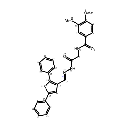 COc1ccc(C(=O)NCC(=O)N/N=C/c2cc(-c3ccccc3)sc2-c2ccccc2)cc1OC